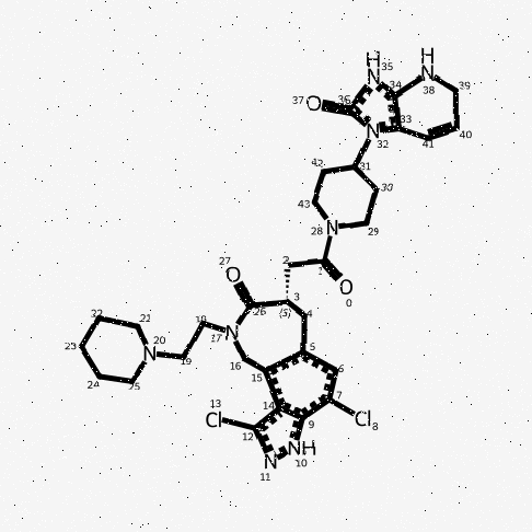 O=C(C[C@@H]1Cc2cc(Cl)c3[nH]nc(Cl)c3c2CN(CCN2CCCCC2)C1=O)N1CCC(n2c3c([nH]c2=O)NCC=C3)CC1